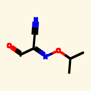 CC(C)O/N=C(/[C]=O)C#N